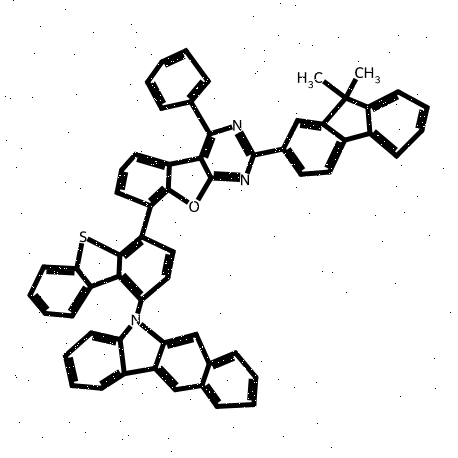 CC1(C)c2ccccc2-c2ccc(-c3nc(-c4ccccc4)c4c(n3)oc3c(-c5ccc(-n6c7ccccc7c7cc8ccccc8cc76)c6c5sc5ccccc56)cccc34)cc21